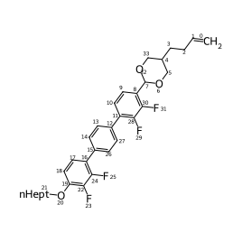 C=CCCC1COC(c2ccc(-c3ccc(-c4ccc(OCCCCCCC)c(F)c4F)cc3)c(F)c2F)OC1